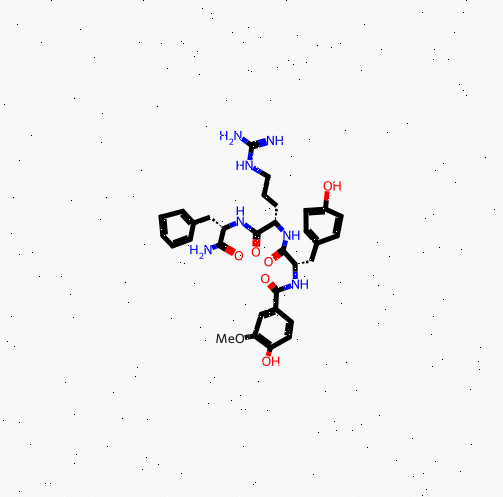 COc1cc(C(=O)N[C@@H](Cc2ccc(O)cc2)C(=O)N[C@@H](CCCNC(=N)N)C(=O)N[C@@H](Cc2ccccc2)C(N)=O)ccc1O